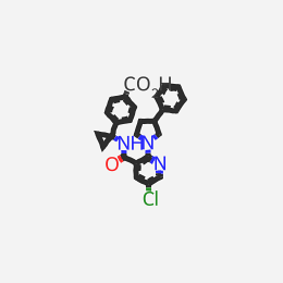 O=C(O)c1ccc(C2(NC(=O)c3cc(Cl)cnc3N3CCC(c4ccccc4)C3)CC2)cc1